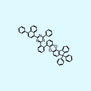 c1ccc(-c2nc(-c3ccccc3-c3cccc4c3Oc3ccc5c(c3O4)-c3ccccc3C5(c3ccccc3)c3ccccc3)nc(-c3ccc(-c4ccccc4)c4ccccc34)n2)cc1